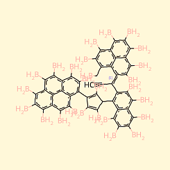 BCc1c(B)c(B)c2c(B)c(B)c(B)c3c(B)c(B)/c(=C(/C#C)c4c(B)c(B)c5c(B)c(B)c(B)c(B)c5c4C4C(B)=C(B)C(c5c(B)c(B)c6c(B)c(B)c7c(B)c(B)c(B)c8c(B)c(B)c5c6c78)=C4B)c1c23